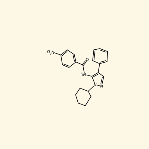 O=C(Nc1c(-c2ccccc2)cnn1C1CCCCC1)c1ccc([N+](=O)[O-])cc1